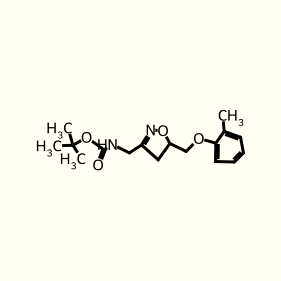 Cc1ccccc1OCC1CC(CNC(=O)OC(C)(C)C)=NO1